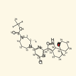 C[C@H]1CN(C(=O)OC(C)(C)C)CCCN1c1cc(Cl)nc(C2=C3CCC[C@@]4(CCCCC45OCCO5)C3NO2)n1